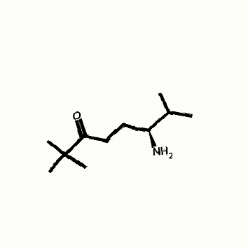 CC(C)[C@@H](N)CCC(=O)C(C)(C)C